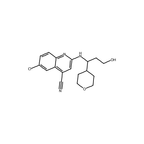 N#Cc1cc(NC(CCO)C2CCOCC2)nc2ccc(Cl)cc12